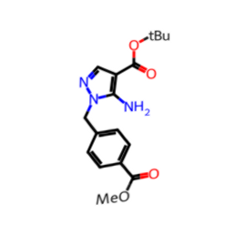 COC(=O)c1ccc(Cn2ncc(C(=O)OC(C)(C)C)c2N)cc1